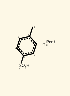 CCC[C@H](C)c1cc(S(=O)(=O)O)ccc1C